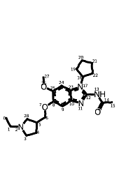 CCN1CCC(COc2cc3nc(NC(C)=O)n(C4CCCC4)c3cc2OC)C1